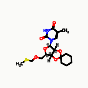 CSCOC[C@H]1O[C@@H](n2cc(C)c(=O)[nH]c2=O)[C@@H]2OC3(CCCCC3)O[C@@H]21